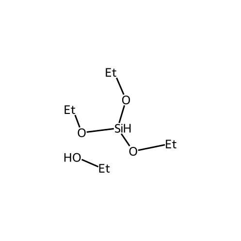 CCO.CCO[SiH](OCC)OCC